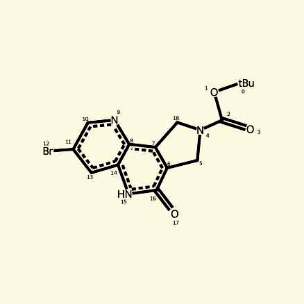 CC(C)(C)OC(=O)N1Cc2c(c3ncc(Br)cc3[nH]c2=O)C1